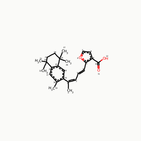 C/C(=C/C=C/c1occc1C(=O)O)c1cc2c(cc1C)C(C)(C)CCC2(C)C